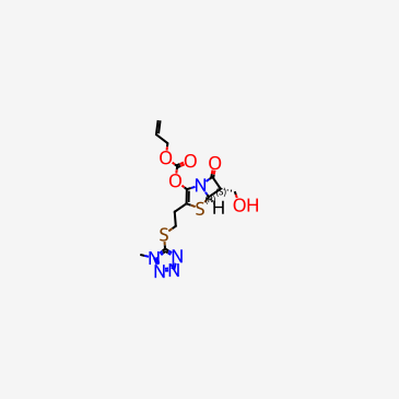 C=CCOC(=O)OC1=C(CCSc2nnnn2C)S[C@@H]2[C@@H](CO)C(=O)N12